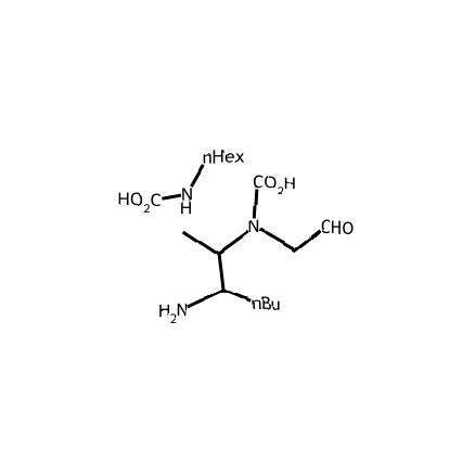 CCCCC(N)C(C)N(CC=O)C(=O)O.CCCCCCNC(=O)O